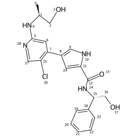 C[C@@H](CO)Nc1cc(-c2c[nH]c(C(=O)N[C@H](CO)c3ccccc3)c2)c(Cl)cn1